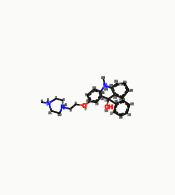 CN1CCN(CCOc2ccc3c(c2)C(O)(c2ccccc2)c2ccccc2N3C)CC1